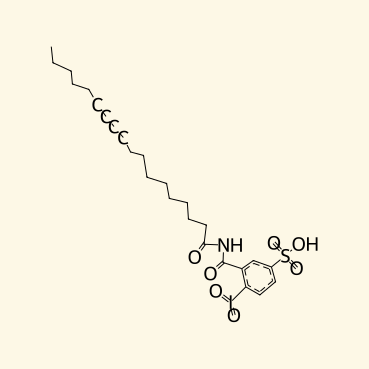 CCCCCCCCCCCCCCCCCC(=O)NC(=O)c1cc(S(=O)(=O)O)ccc1I(=O)=O